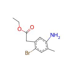 CCOC(=O)Cc1cc(N)c(C)cc1Br